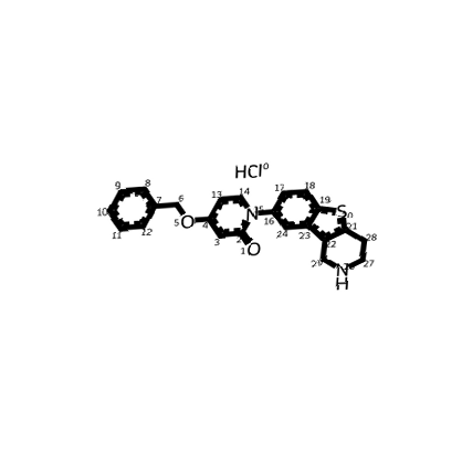 Cl.O=c1cc(OCc2ccccc2)ccn1-c1ccc2sc3c(c2c1)CNCC3